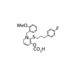 COc1ccccc1CN1CC=CC(OC(=O)O)=C1SCCCc1ccc(F)cc1